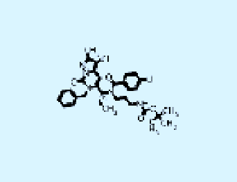 CC[C@H](c1cc2c(Cl)c(C)nn2c(=O)n1Cc1ccccc1)N(CCCNC(=O)OC(C)(C)C)C(=O)c1ccc(Cl)cc1